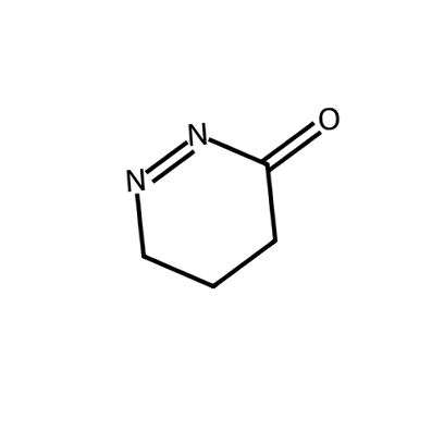 O=C1CCCN=N1